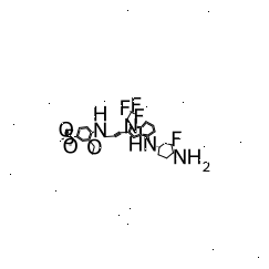 COc1cc(S(C)(=O)=O)ccc1NCC#Cc1cc2c(N[C@H]3CC[C@@H](N)[C@H](F)C3)cccc2n1CC(F)(F)F